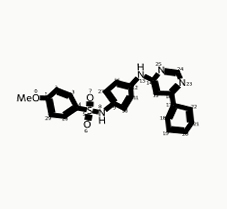 COc1ccc(S(=O)(=O)Nc2ccc(Nc3cc(-c4ccccc4)ncn3)cc2)cc1